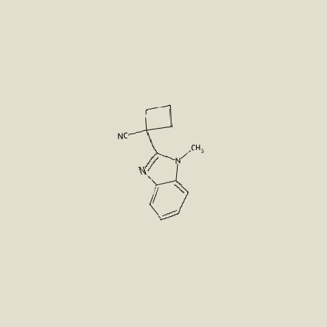 Cn1c(C2(C#N)CCC2)nc2ccccc21